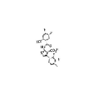 Cc1ccc(-c2csc(NC(=O)c3cc(F)c(F)cc3O)c2C(=O)O)c(F)c1F